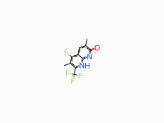 Cc1c(C(F)(F)F)[nH]c2nc(=O)c(C)cc-2c1F